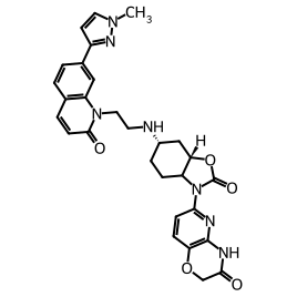 Cn1ccc(-c2ccc3ccc(=O)n(CCN[C@H]4CCC5[C@H](C4)OC(=O)N5c4ccc5c(n4)NC(=O)CO5)c3c2)n1